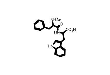 CC(=O)NC(Cc1ccccc1)C(=O)NC(Cc1c[nH]c2ccccc12)C(=O)O